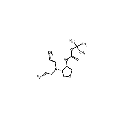 C=CCN(CC=C)[C@H]1COC[C@@H]1NC(=O)OC(C)(C)C